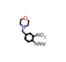 CNc1ccc(CN2CCOCC2)cc1[N+](=O)[O-]